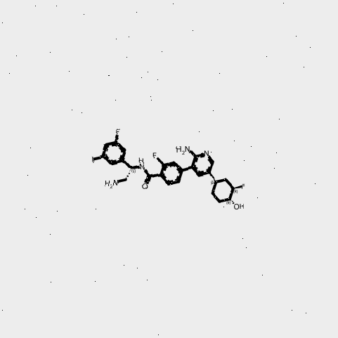 NC[C@@H](NC(=O)c1ccc(-c2cc([C@@H]3CC[C@@H](O)[C@H](F)C3)cnc2N)cc1F)c1cc(F)cc(I)c1